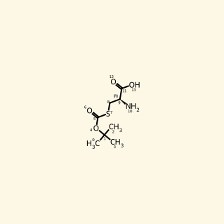 CC(C)(C)OC(=O)SC[C@H](N)C(=O)O